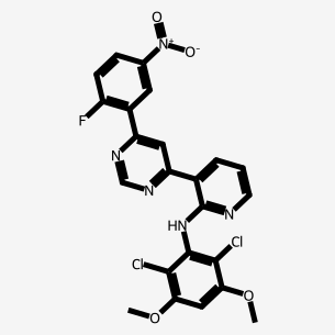 COc1cc(OC)c(Cl)c(Nc2ncccc2-c2cc(-c3cc([N+](=O)[O-])ccc3F)ncn2)c1Cl